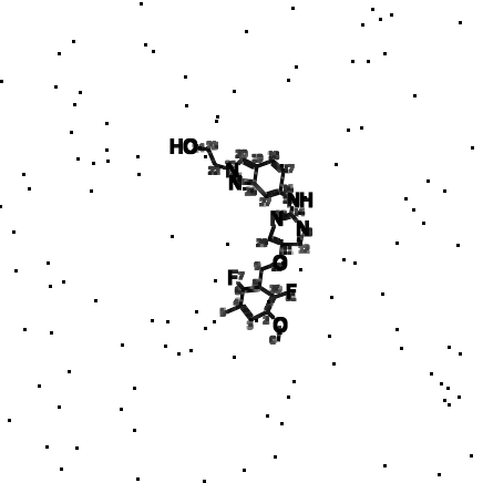 COc1cc(C)c(F)c(COc2cnc(Nc3ccc4cn(CCO)nc4c3)nc2)c1F